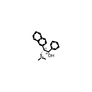 CN(C)C[C@H](c1ccc2ccccc2c1)[C@@H](O)c1ccccc1